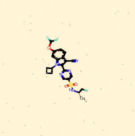 C[C@@H](CF)NS(=O)(=O)c1cnc(-c2c(C#N)c3ccc(OC(F)F)cc3n2C2CCC2)nc1